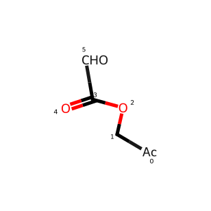 CC(=O)COC(=O)C=O